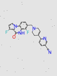 N#Cc1ccc(C2=CCN(Cc3ccc4c([nH]c(=O)c5c(F)ccn54)c3F)CC2)nc1